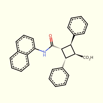 O=C(O)[C@H]1[C@H](c2ccccc2)[C@H](C(=O)Nc2cccc3ccccc23)[C@H]1c1ccccc1